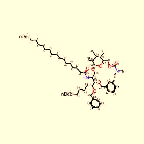 CCCCCCCCCCCCCCCCCCCCCCCCCC(=O)N[C@@H](CO[C@H]1OC(COC(=O)N(C)C)[C@H](C)[C@H](C)C1C)[C@H](OCc1ccccc1)[C@@H](CCCCCCCCCCCCCC)OCc1ccccc1